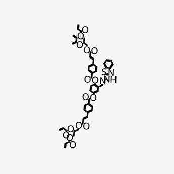 C=CC(=C)OC(COC(=O)C=C)COC(=O)/C=C/c1ccc(C(=O)Oc2ccc(OC(=O)c3ccc(/C=C/C(=O)OCC(COC(=O)C=C)OC(=O)C=C)cc3)cc2/C=N/Nc2nc3ccccc3s2)cc1